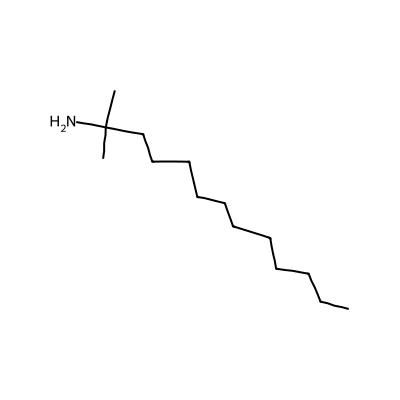 CCCCCCCCCCCC(C)(C)N